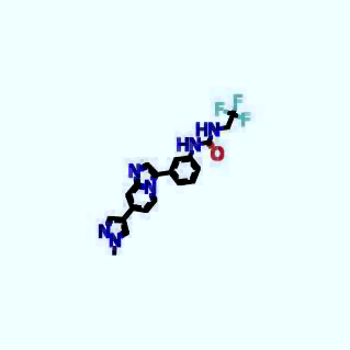 Cn1cc(-c2ccn3c(-c4cccc(NC(=O)NCC(F)(F)F)c4)cnc3c2)cn1